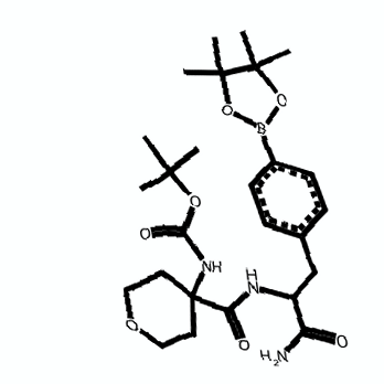 CC(C)(C)OC(=O)NC1(C(=O)NC(Cc2ccc(B3OC(C)(C)C(C)(C)O3)cc2)C(N)=O)CCOCC1